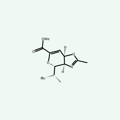 CC[C@@H](C)[C@@H](C)[C@@H]1OC(C(=O)OC)=C[C@H]2OC(C)=N[C@@H]12